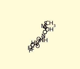 CSc1ncc([C@]2(O)CC[C@H](N3CC(NC(=O)CNC(=O)c4cccc(C(F)(F)F)c4)C3)CC2)s1